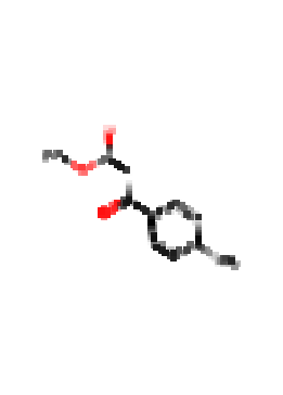 CCCOC(=O)CC(=O)c1ccc([N+](=O)[O-])cc1